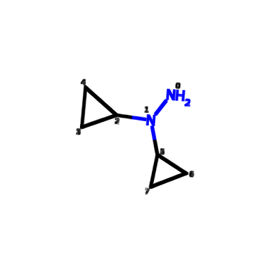 NN(C1CC1)C1CC1